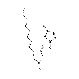 CCCCCCC=CC1CC(=O)OC1=O.O=C1C=CC(=O)O1